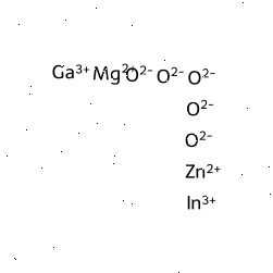 [Ga+3].[In+3].[Mg+2].[O-2].[O-2].[O-2].[O-2].[O-2].[Zn+2]